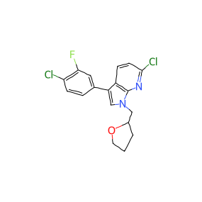 Fc1cc(-c2cn(CC3CCCO3)c3nc(Cl)ccc23)ccc1Cl